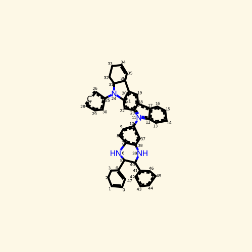 C1=CCCC(C2Nc3ccc(-n4c5ccccc5c5cc6c(cc54)N(c4ccccc4)C4CCC=CC64)cc3NC2c2ccccc2)=C1